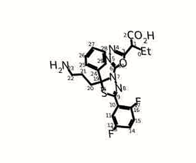 CCC(C(=O)O)c1nnc(N2N=C(c3cc(F)ccc3F)SC2(CCCN)c2ccccc2)o1